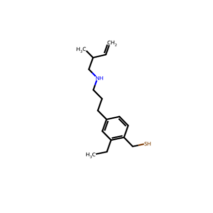 C=CC(C)CNCCCc1ccc(CS)c(CC)c1